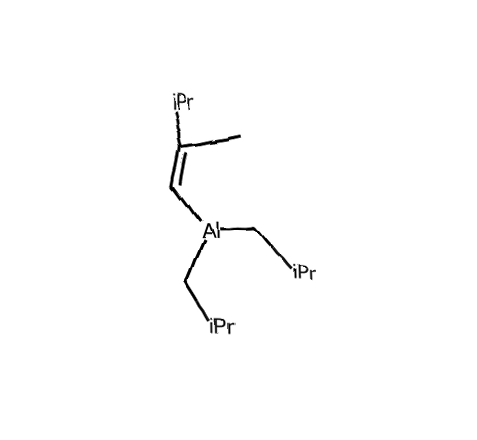 C/C(=[CH]\[Al]([CH2]C(C)C)[CH2]C(C)C)C(C)C